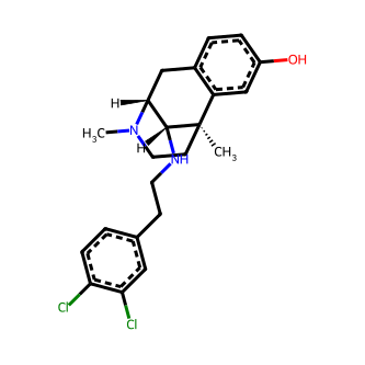 CN1CC[C@]2(C)c3cc(O)ccc3C[C@@H]1[C@H]2NCCc1ccc(Cl)c(Cl)c1